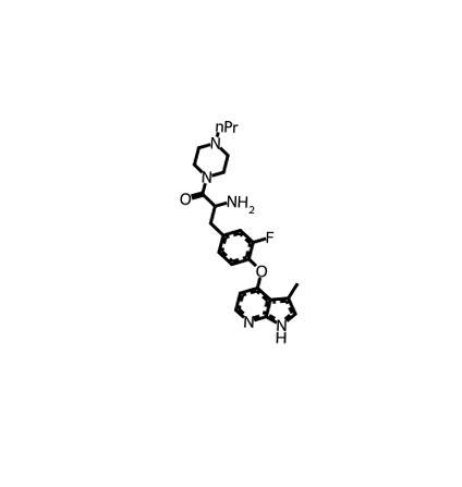 CCCN1CCN(C(=O)C(N)Cc2ccc(Oc3ccnc4[nH]cc(C)c34)c(F)c2)CC1